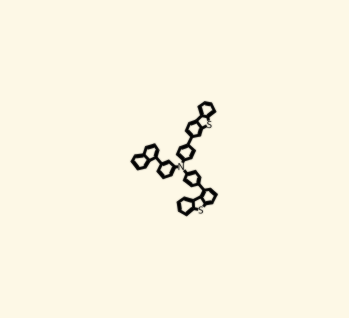 c1cc(-c2cccc3ccccc23)cc(N(c2ccc(-c3ccc4c(c3)sc3ccccc34)cc2)c2ccc(-c3cccc4sc5ccccc5c34)cc2)c1